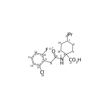 CC(C)C1CCC(NC(=O)Cc2c(F)cccc2Cl)(C(=O)O)CC1